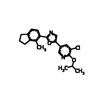 Cc1c(-c2ncc(-c3cnc(OC(C)C)c(Cl)c3)o2)ccc2c1CCC2